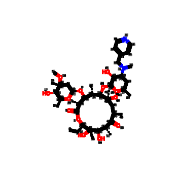 CC[C@H]1OC(=O)[C@H](C)[C@@H](O[C@H]2C[C@@](C)(OC)[C@@H](O)[C@H](C)O2)[C@H](C)[C@@H](O[C@@H]2O[C@H](C)C[C@H](N(C)Cc3ccncc3)[C@H]2O)[C@@](C)(OC)C[C@@H](C)C(=O)[C@H](C)[C@@H](O)[C@]1(C)O